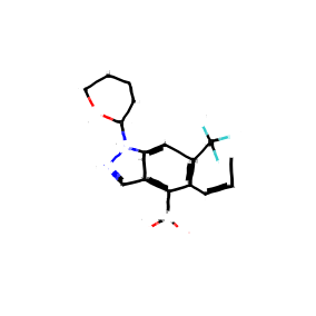 C/C=C\c1c(C(F)(F)F)cc2c(cnn2C2CCCCO2)c1B(O)O